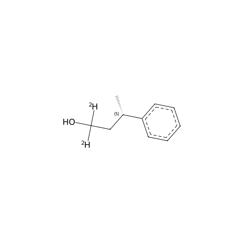 [2H]C([2H])(O)C[C@H](C)c1ccccc1